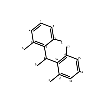 Cc1cccc(C)c1C(C)c1c(C)cccc1C